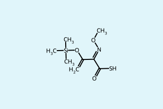 C=C(O[Si](C)(C)C)/C(=N\OC)C(=O)S